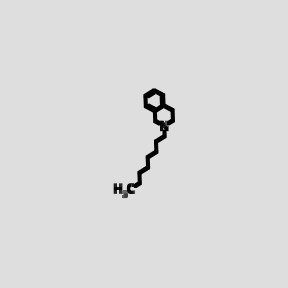 CCCCCCCCN1CCc2ccccc2C1